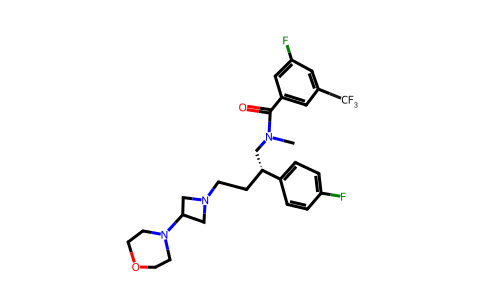 CN(C[C@@H](CCN1CC(N2CCOCC2)C1)c1ccc(F)cc1)C(=O)c1cc(F)cc(C(F)(F)F)c1